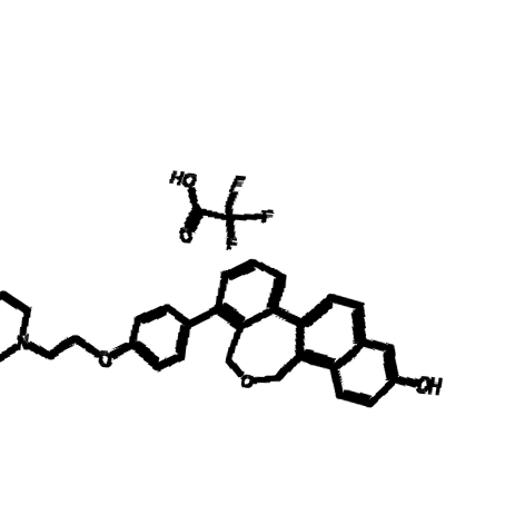 O=C(O)C(F)(F)F.Oc1ccc2c3c(ccc2c1)-c1cccc(-c2ccc(OCCN4CCCCC4)cc2)c1COC3